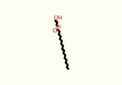 CCCCCCCCC=CCCCCCCCC(=O)OCC=CO